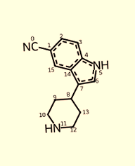 N#Cc1ccc2[nH]cc(C3CCNCC3)c2c1